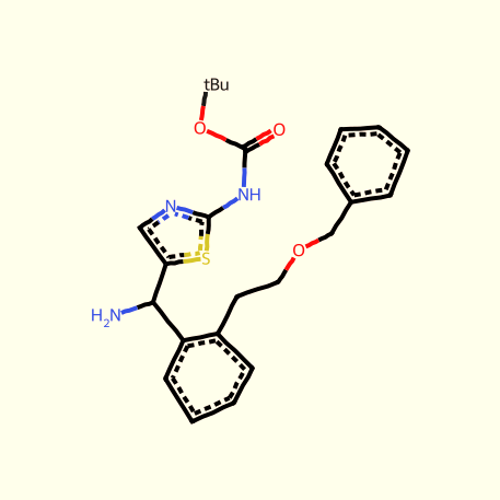 CC(C)(C)OC(=O)Nc1ncc(C(N)c2ccccc2CCOCc2ccccc2)s1